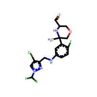 CC1(c2cc(NCc3nn(C(F)F)cc3Cl)ccc2F)COCC(C=S)N1